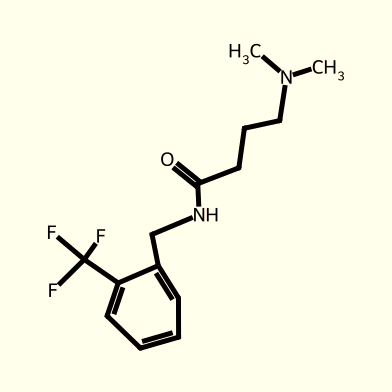 CN(C)CCCC(=O)NCc1ccccc1C(F)(F)F